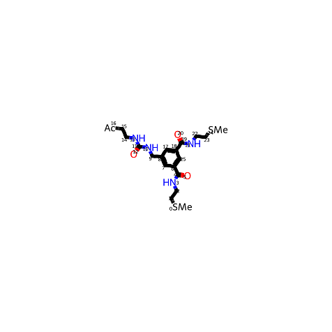 CSCCNC(=O)c1cc(CNC(=O)NCCC(C)=O)cc(C(=O)NCCSC)c1